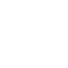 [CH2]CC=Cc1ccc(C)cc1